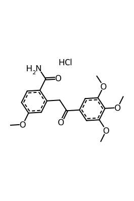 COc1ccc(C(N)=O)c(CC(=O)c2cc(OC)c(OC)c(OC)c2)c1.Cl